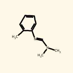 Cc1c[c]ccc1N=CN(C)C